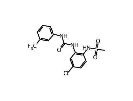 CS(=O)(=O)Nc1ccc(Cl)cc1NC(=O)Nc1cccc(C(F)(F)F)c1